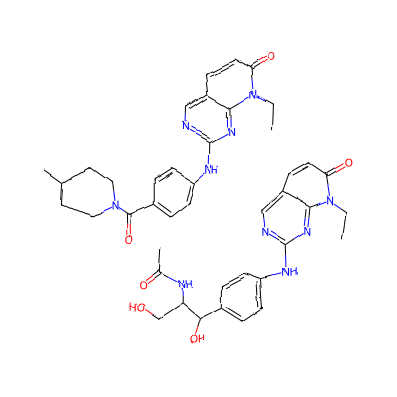 CCn1c(=O)ccc2cnc(Nc3ccc(C(=O)N4CCC(C)CC4)cc3)nc21.CCn1c(=O)ccc2cnc(Nc3ccc(C(O)C(CO)NC(C)=O)cc3)nc21